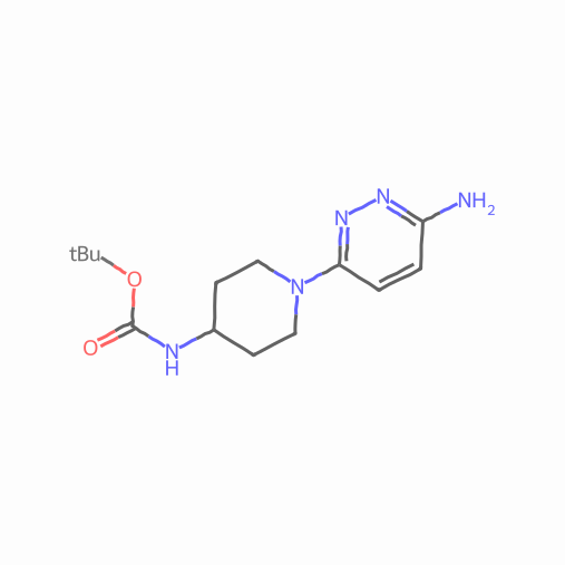 CC(C)(C)OC(=O)NC1CCN(c2ccc(N)nn2)CC1